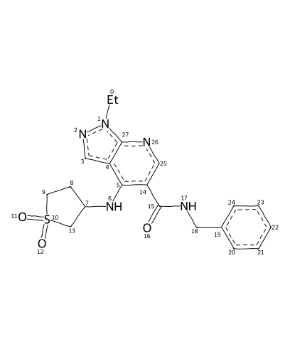 CCn1ncc2c(NC3CCS(=O)(=O)C3)c(C(=O)NCc3ccccc3)cnc21